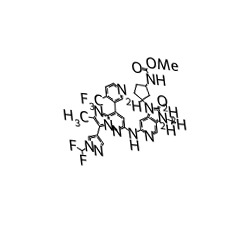 [2H]C([2H])([2H])n1c(=O)n([C@]2([2H])CC[C@@H](NC(=O)OC)C2)c2cc(Nc3cc(-c4cnccc4C(F)(F)F)c4nc(C)c(-c5cnn(C(F)F)c5)n4n3)ncc21